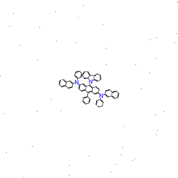 C1=CC(N(c2ccc3ccccc3c2)c2ccc3c(-n4c5ccccc5c5ccccc54)c4cc(N(c5ccccc5)c5ccc6ccccc6c5)ccc4c(-c4ccccc4)c3c2)=CCC1